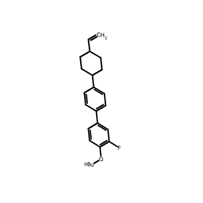 C=CC1CCC(c2ccc(-c3ccc(OCCCC)c(F)c3)cc2)CC1